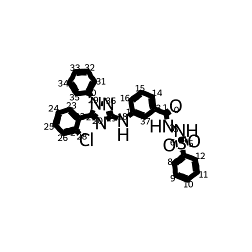 O=C(NNS(=O)(=O)c1ccccc1)c1cccc(Nc2nc(-c3ccccc3Cl)n(-c3ccccc3)n2)c1